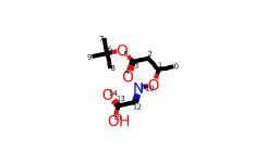 CC(CC(=O)OC(C)(C)C)ON=CC(=O)O